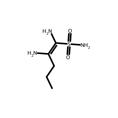 CCCC(N)=C(N)S(N)(=O)=O